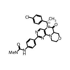 CNC(=O)Nc1ccc(-c2ncc3c(n2)N2CCOCC2C(=O)N3[C@@H](C)c2ccc(Cl)cc2)cc1